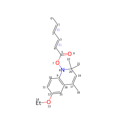 C/C=C/C=C/C(=O)ON1c2ccc(OCC)cc2C(C)=CC1(C)C